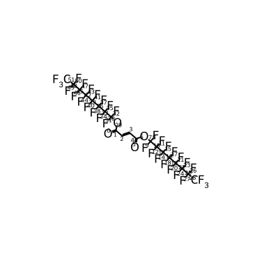 O=C(C=CC(=O)OC(F)(F)C(F)(F)C(F)(F)C(F)(F)C(F)(F)C(F)(F)C(F)(F)C(F)(F)F)OC(F)(F)C(F)(F)C(F)(F)C(F)(F)C(F)(F)C(F)(F)C(F)(F)C(F)(F)F